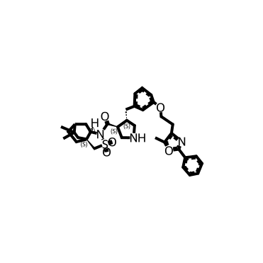 Cc1oc(-c2ccccc2)nc1CCOc1cccc(C[C@@H]2CNC[C@H]2C(=O)N2[C@@H]3CC4CC[C@@]3(CC4(C)C)CS2(=O)=O)c1